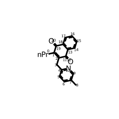 CCCC1=C(Cc2ccc(C)cn2)C(=O)c2ccccc2C1=O